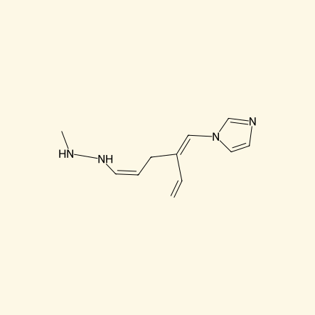 C=C/C(=C\n1ccnc1)C/C=C\NNC